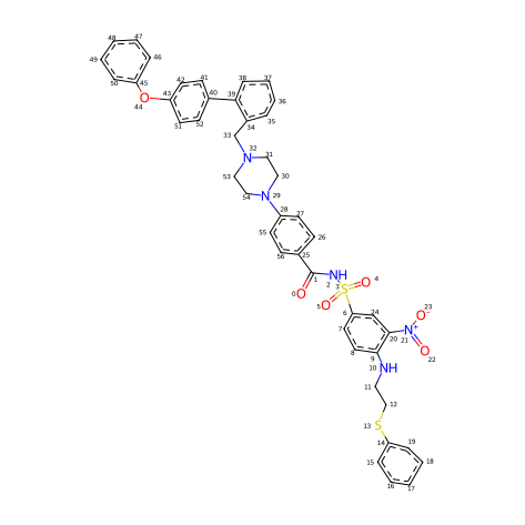 O=C(NS(=O)(=O)c1ccc(NCCSc2ccccc2)c([N+](=O)[O-])c1)c1ccc(N2CCN(Cc3ccccc3-c3ccc(Oc4ccccc4)cc3)CC2)cc1